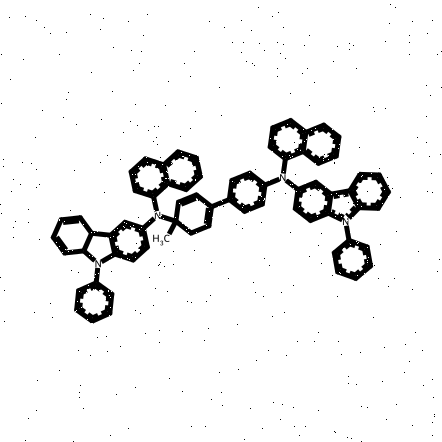 CC1(N(c2ccc3c(c2)C2C=CC=CC2N3c2ccccc2)c2cccc3ccccc23)C=CC(c2ccc(N(c3ccc4c(c3)c3ccccc3n4-c3ccccc3)c3cccc4ccccc34)cc2)=CC1